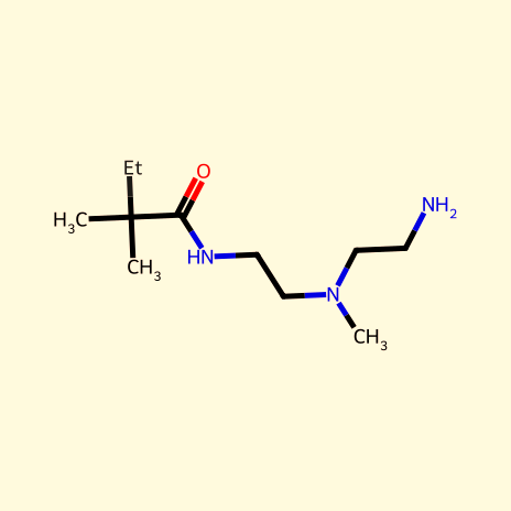 CCC(C)(C)C(=O)NCCN(C)CCN